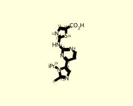 Cc1ncc(-c2ccnc(Nc3ncc(C(=O)O)s3)n2)n1C(C)C